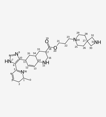 CC1CC=CC(c2[nH]cnc2C2C=CC3NCC(C(=O)OCCCN4CCC5(CC4)CNC5)CC3C2)=N1